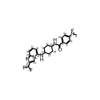 CN(C)c1ccc(C(=O)NC2CCC(Nc3cccc4nc(C(F)F)cn34)CC2)cc1